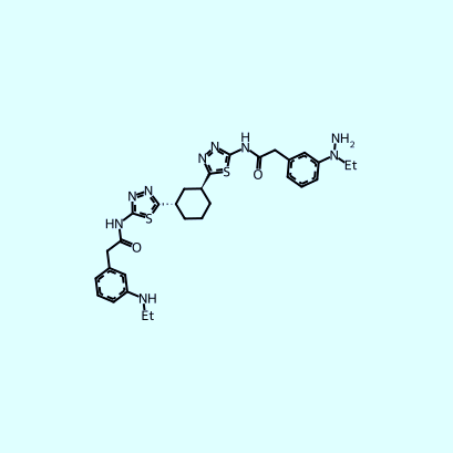 CCNc1cccc(CC(=O)Nc2nnc([C@H]3CCC[C@H](c4nnc(NC(=O)Cc5cccc(N(N)CC)c5)s4)C3)s2)c1